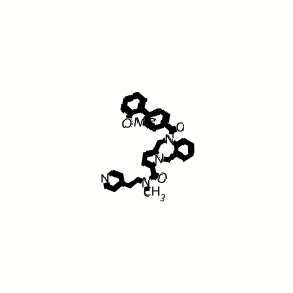 COc1ccccc1-c1ccc(C(=O)N2Cc3ccc(C(=O)N(C)CCc4ccncc4)n3Cc3ccccc32)cc1